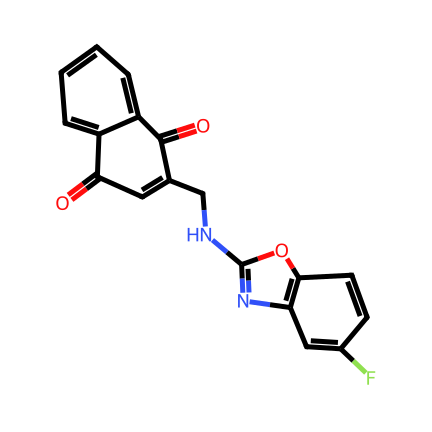 O=C1C=C(CNc2nc3cc(F)ccc3o2)C(=O)c2ccccc21